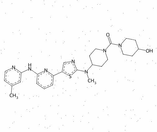 Cc1ccnc(Nc2cccc(-c3cnc(N(C)C4CCN(C(=O)N5CCC(O)CC5)CC4)s3)n2)c1